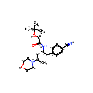 CC(C[C@@H](Cc1ccc(C#N)cc1)NC(=O)COC(C)(C)C)N1CCOCC1